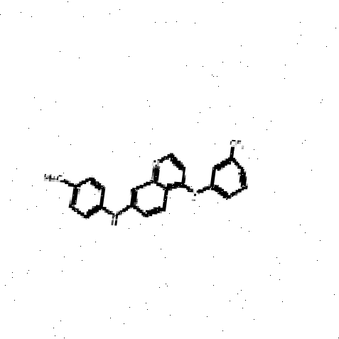 COc1ccc(Nc2ccc3c(Nc4cccc(C(F)(F)F)c4)ccnc3c2)cc1